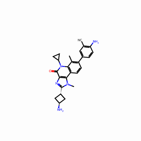 Cc1c(-c2ccc(N)c(C#N)c2)ccc2c1n(C1CC1)c(=O)c1nc([C@H]3C[C@H](N)C3)n(C)c12